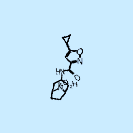 O=C(NC1CC2CCC(C1)N2C(=O)O)c1cc(C2CC2)on1